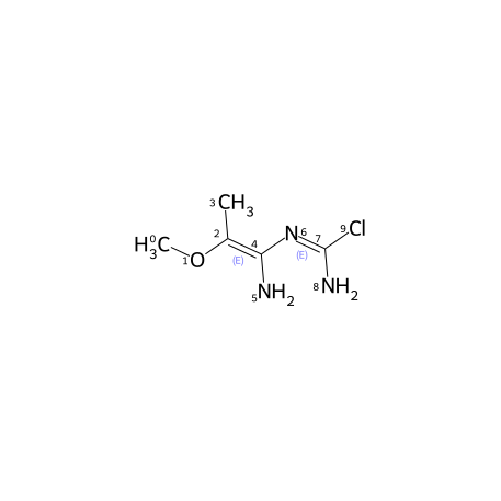 CO/C(C)=C(N)/N=C(\N)Cl